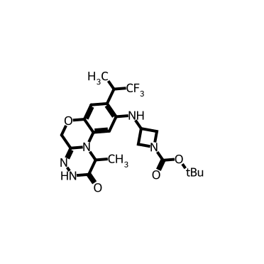 CC1C(=O)NN=C2COc3cc(C(C)C(F)(F)F)c(NC4CN(C(=O)OC(C)(C)C)C4)cc3N21